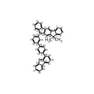 CC1(C)c2ccccc2-c2cc3c4ccccc4n(-c4cccc(-c5ccc(-c6cccc7c6sc6ccccc67)cc5)c4)c3cc21